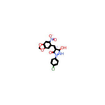 O=C1/C(=C\c2cc3c(cc2[N+](=O)[O-])OCO3)C(O)NN1c1ccc(Cl)cc1